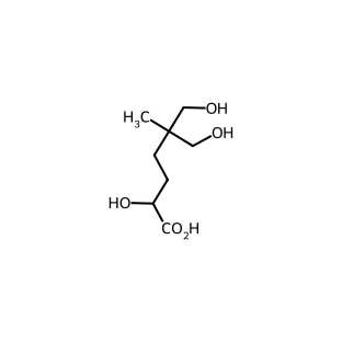 CC(CO)(CO)CCC(O)C(=O)O